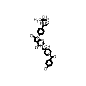 CC1(C)COCC(c2ccc(-n3c(Cl)cc4c(=O)n(CC5(O)CCN(C(=O)c6ccc(Cl)cc6)CC5)cnc43)cc2)N1